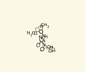 COC1CCC2CN(C)Cc3cc(Nc4ncc(Cl)c(N5CC(C)(CC(=O)O)c6ccccc65)n4)cc1c32